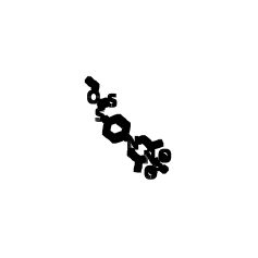 CCOC(=S)SC1C=CC(N2CC(C)N(S(C)(=O)=O)C(C)C2)=CC1